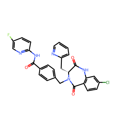 O=C(Nc1ccc(F)cn1)c1ccc(CN2C(=O)c3ccc(Cl)cc3NC(=O)[C@H]2Cc2ccccn2)cc1